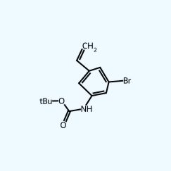 C=Cc1cc(Br)cc(NC(=O)OC(C)(C)C)c1